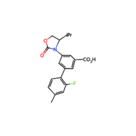 Cc1ccc(-c2cc(C(=O)O)cc(N3C(=O)OCC3C(C)C)c2)c(F)c1